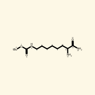 CC(C)(C)OC(=O)NCCCCCCC(N)C(N)=O